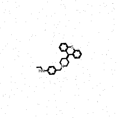 CCNc1ccc(CN2CCC(=C3c4ccccc4Sc4ccccc43)CC2)cc1